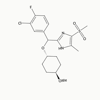 CO[C@H]1CC[C@H](OC(c2ccc(F)c(Cl)c2)c2nc(S(C)(=O)=O)c(C)[nH]2)CC1